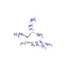 C=C.N.N.N.N.N.N.NCCN